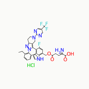 CCc1cccc(CC)c1-n1nc2c(c1-c1c(F)cc(COC(=O)CC[C@H](N)C(=O)O)c3[nH]ccc13)CN(c1ncc(C(F)(F)F)cn1)CC2.Cl